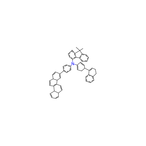 CC1(C)c2ccccc2-c2c(N(C3=CCC(C4=CCCc5ccccc54)C=C3)c3ccc(C4=CC5C6=C(C=CC5C=C4)C4C=CC=CC4C=C6)cc3)cccc21